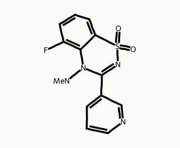 CNN1C(c2cccnc2)=NS(=O)(=O)c2cccc(F)c21